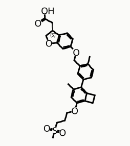 Cc1ccc(-c2c(C)cc(OCCCS(C)(=O)=O)c3c2CC3)cc1COc1ccc2c(c1)OC[C@H]2CC(=O)O